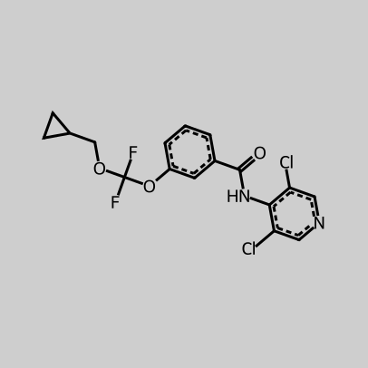 O=C(Nc1c(Cl)cncc1Cl)c1cccc(OC(F)(F)OCC2CC2)c1